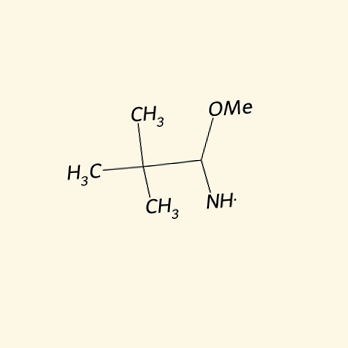 COC([NH])C(C)(C)C